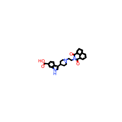 O=C(O)c1ccc2c(C3CCN(CCN4C(=O)c5cccc6cccc(c56)C4=O)CC3)c[nH]c2c1